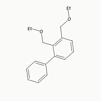 CCOCc1cccc(-c2ccccc2)c1COCC